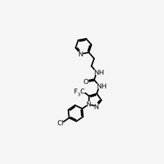 O=C(NCCc1ccccn1)Nc1cnn(-c2ccc(Cl)cc2)c1C(F)(F)F